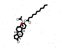 CCCCCCCCCCC(=O)O[C@H]1CC[C@@]2(CCSC(C)=O)C(=CC[C@@H]3[C@@H]2CC[C@]2(C)C(=O)CC[C@@H]32)C1